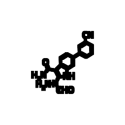 N#Cc1cccc(-c2ccc3c(C(N)=O)c(N(N)C=O)[nH]c3c2)c1